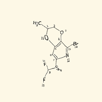 CC1COc2c(cc(SC(F)F)nc2Br)O1